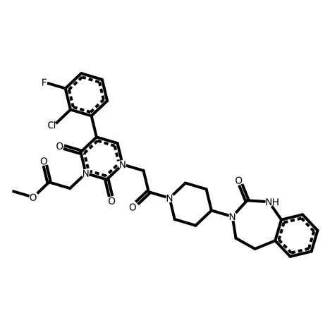 COC(=O)Cn1c(=O)c(-c2cccc(F)c2Cl)cn(CC(=O)N2CCC(N3CCc4ccccc4NC3=O)CC2)c1=O